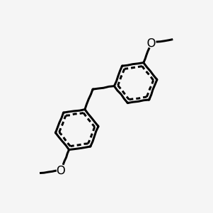 COc1ccc(Cc2cccc(OC)c2)cc1